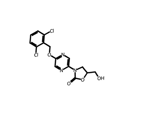 O=C1OC(CO)CN1c1cnc(OCc2c(Cl)cccc2Cl)cn1